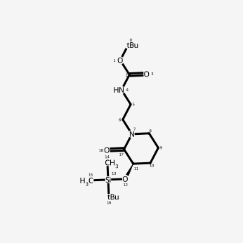 CC(C)(C)OC(=O)NCCN1CCC[C@@H](O[Si](C)(C)C(C)(C)C)C1=O